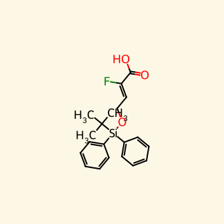 CC(C)(C)[Si](OC/C=C(\F)C(=O)O)(c1ccccc1)c1ccccc1